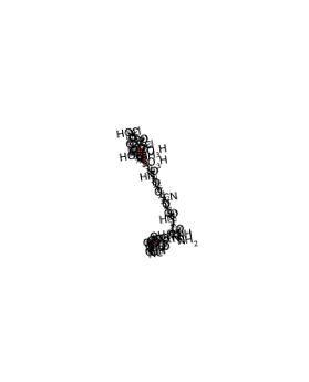 N#C/C=C/OC1C[C@H](n2cc(C#CCNC(=O)OCCO/C=C(\C#N)CCOCCOCCNC(=O)CCCCCNC(=O)c3cc(Cl)c4c(c3Cl)C3(OC4=O)c4cc(Cl)c(O)cc4Oc4cc(O)c(-c5ccc(S(=O)(=O)O)cc5S(=O)(=O)O)cc43)c3c(=O)[nH]c(N)nc32)O[C@@H]1COP(=O)(O)OP(=O)(O)OP(=O)(O)O